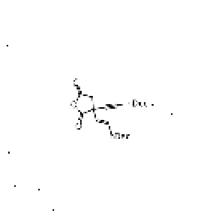 CCCCCCCCCCC#CC1(C=CCCCCCCCCCC)CC(=O)OC1=O